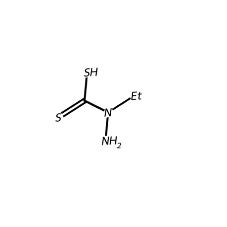 CCN(N)C(=S)S